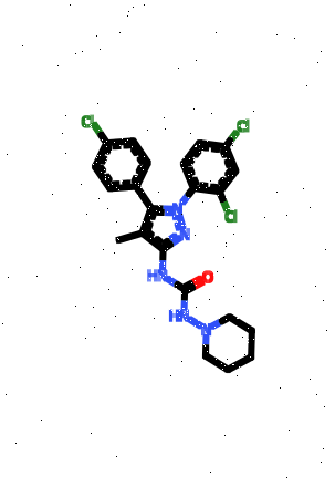 Cc1c(NC(=O)NN2CCCCC2)nn(-c2ccc(Cl)cc2Cl)c1-c1ccc(Cl)cc1